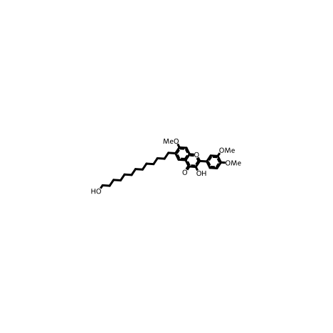 COc1cc2oc(-c3ccc(OC)c(OC)c3)c(O)c(=O)c2cc1CCCCCCCCCCCCCO